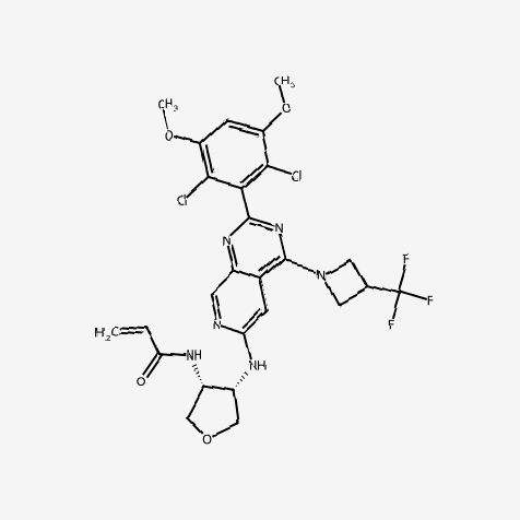 C=CC(=O)N[C@H]1COC[C@H]1Nc1cc2c(N3CC(C(F)(F)F)C3)nc(-c3c(Cl)c(OC)cc(OC)c3Cl)nc2cn1